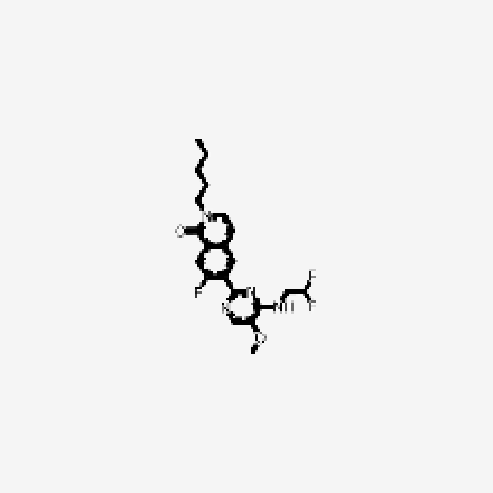 CCCCCn1ccc2cc(-c3ncc(OC)c(NCC(F)F)n3)c(F)cc2c1=O